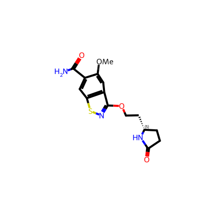 COc1cc2c(OCC[C@@H]3CCC(=O)N3)nsc2cc1C(N)=O